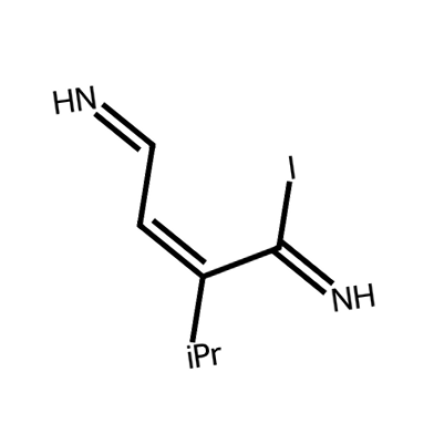 CC(C)/C(=C/C=N)C(=N)I